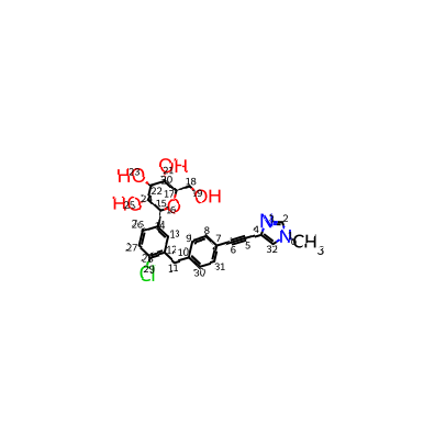 Cn1cnc(C#Cc2ccc(Cc3cc([C@@H]4O[C@H](CO)[C@@H](O)[C@H](O)[C@H]4O)ccc3Cl)cc2)c1